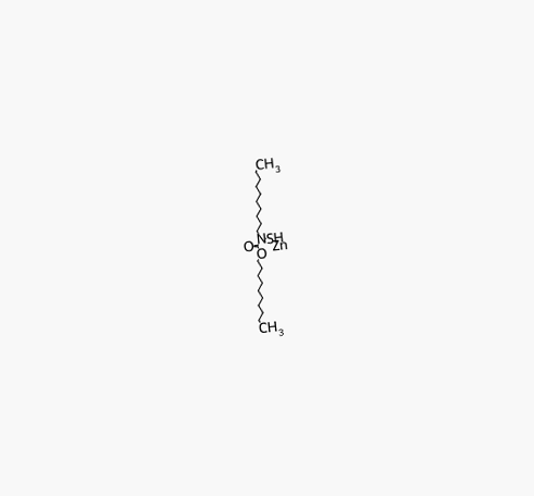 CCCCCCCCCCOC(=O)N(S)CCCCCCCCCC.[Zn]